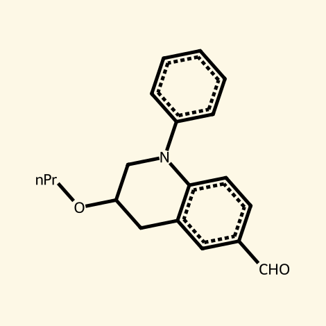 CCCOC1Cc2cc(C=O)ccc2N(c2ccccc2)C1